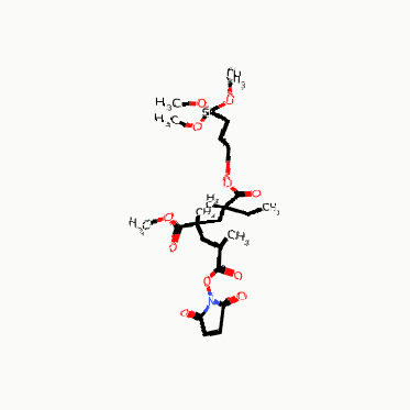 CCC(C)(CC(C)(CC(C)C(=O)ON1C(=O)CCC1=O)C(=O)OC)C(=O)OCCC[Si](OC)(OC)OC